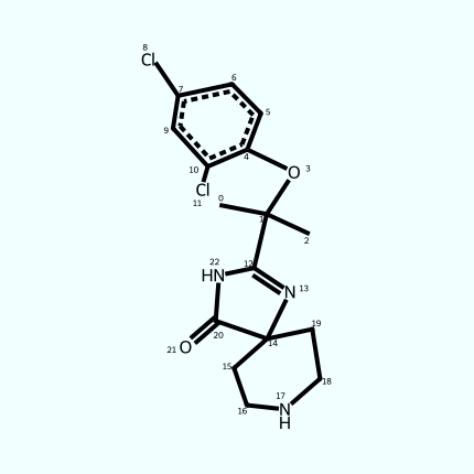 CC(C)(Oc1ccc(Cl)cc1Cl)C1=NC2(CCNCC2)C(=O)N1